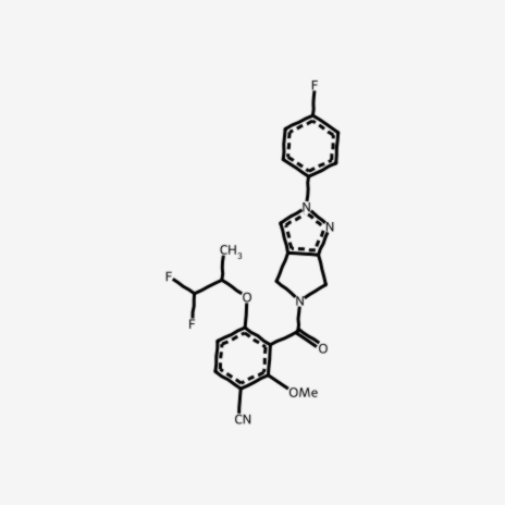 COc1c(C#N)ccc(OC(C)C(F)F)c1C(=O)N1Cc2cn(-c3ccc(F)cc3)nc2C1